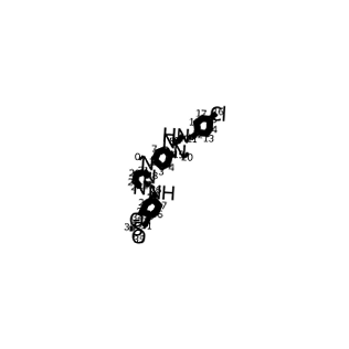 CN(c1ccc2c(c1)nc(NCc1ccc(Cl)cc1)n2C)c1ccnc(Nc2ccc(CS(C)(=O)=O)cc2)n1